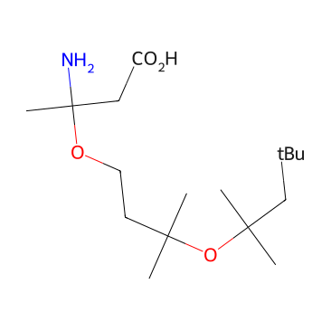 CC(C)(C)CC(C)(C)OC(C)(C)CCOC(C)(N)CC(=O)O